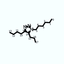 CCCCCCn1nnc(CCCC)c1CCC